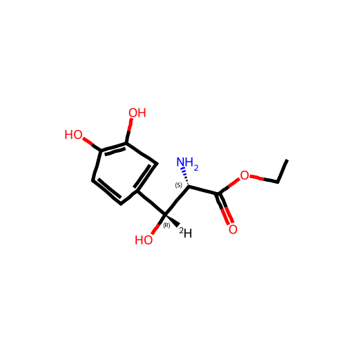 [2H][C@@](O)(c1ccc(O)c(O)c1)[C@H](N)C(=O)OCC